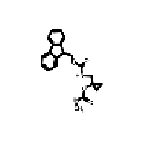 CNC(=O)OC1(CNC(=O)OCC2c3ccccc3-c3ccccc32)CC1